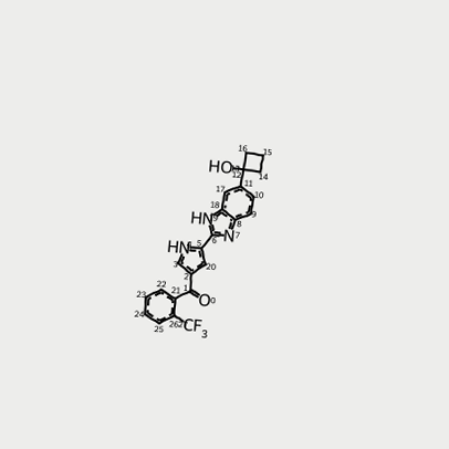 O=C(c1c[nH]c(-c2nc3ccc(C4(O)CCC4)cc3[nH]2)c1)c1ccccc1C(F)(F)F